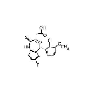 COc1cccc([C@H]2O[C@H](CC(=O)O)C(=S)Nc3ccc(F)cc32)c1Cl